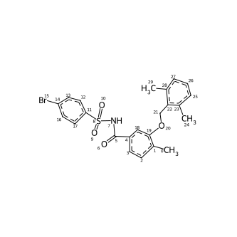 Cc1ccc(C(=O)NS(=O)(=O)c2ccc(Br)cc2)cc1OCc1c(C)cccc1C